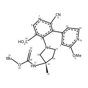 COc1cc(-c2c(C#N)ncc(C(=O)O)c2N2CC[C@](C)(NC(=O)OC(C)(C)C)C2)ccn1